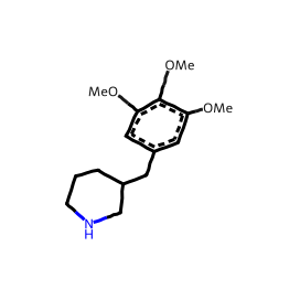 COc1cc(CC2CCCNC2)cc(OC)c1OC